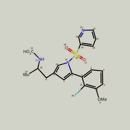 COc1cccc(-c2cc(CC(NC(=O)O)C(C)(C)C)cn2S(=O)(=O)c2cccnc2)c1F